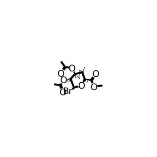 COC(=O)[C@H]1OC(Br)[C@H](OC(C)=O)[C@@H](OC(C)=O)[C@@H]1C